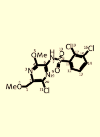 COCc1nc(OC)c(NS(=O)(=O)c2cccc(Cl)c2Cl)nc1Cl